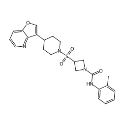 Cc1ccccc1NC(=O)N1CC(S(=O)(=O)N2CCC(c3coc4cccnc34)CC2)C1